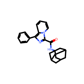 O=C(NC12CC3CC(CC(C3)C1)C2)c1nc(-c2ccccc2)c2ccccn12